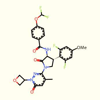 COc1cc(F)c([C@@H]2CN(c3nn(C4COC4)c(=O)cc3C)C(=O)[C@H]2NC(=O)c2ccc(OC(F)F)cc2)c(F)c1